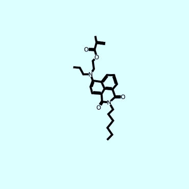 C=C(C)C(=O)OCCN(CCC)c1ccc2c3c(cccc13)C(=O)N(CCCCCC)C2=O